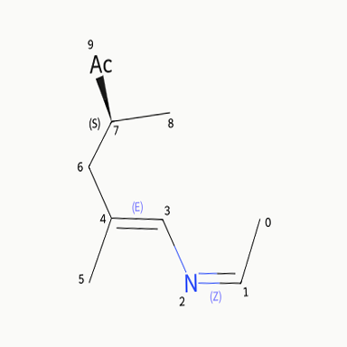 C/C=N\C=C(/C)C[C@H](C)C(C)=O